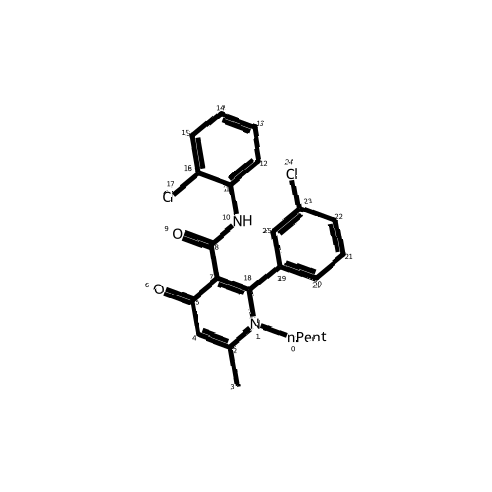 CCCCCn1c(C)cc(=O)c(C(=O)Nc2ccccc2Cl)c1-c1cccc(Cl)c1